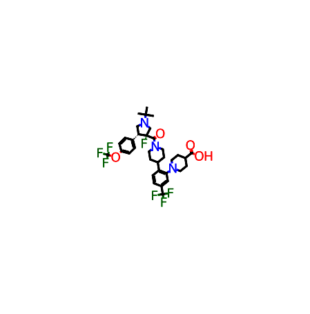 CC(C)(C)N1C[C@@H](c2ccc(OC(F)(F)F)cc2)[C@](F)(C(=O)N2CCC(c3ccc(C(F)(F)F)cc3N3CCC(C(=O)O)CC3)CC2)C1